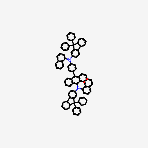 C1=CC(C2(c3ccccc3)c3ccccc3-c3ccc(N(c4cccc5ccccc45)c4c5ccccc5c(-c5ccc(N(c6ccc7c(c6)C(c6ccccc6)(c6ccccc6)c6ccccc6-7)c6cccc7ccccc67)cc5)c5ccccc45)cc32)=CCC1